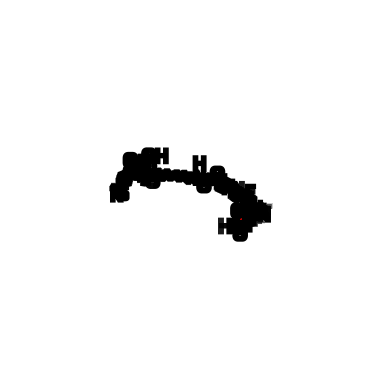 Cc1ncsc1-c1ccc(CNC(=O)[C@@H]2C[C@@H](O)CN2C(=O)[C@@H](NC(=O)CCCCCCCCCCNC(=O)CCC(=O)N2CCN(c3ccc(-c4cc(NC(=O)c5c[nH]c(=O)cc5C(F)(F)F)c(N5C[C@@H](C)N(C)[C@@H](C)C5)cc4F)cn3)CC2)C(C)(C)C)cc1